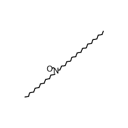 CCCCCCCCCCCCCCCCCCN(C=O)CCCCCCCCCCCC